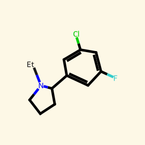 CCN1CCCC1c1cc(F)cc(Cl)c1